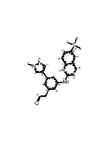 Cn1cc(-c2cc(CC=O)cc(Nc3ncc4cc([Si](C)(C)C)ccc4n3)c2)cn1